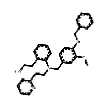 COc1cc(CN(CCc2ccccn2)c2ccccc2CCO)ccc1OCc1ccccc1